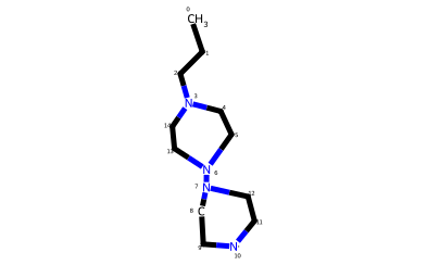 CCCN1CCN(N2CC[N]CC2)CC1